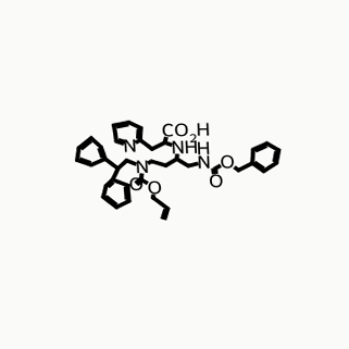 C=CCOC(=O)N(CCC(CNC(=O)OCc1ccccc1)NC(Cc1ccccn1)C(=O)O)CC(c1ccccc1)c1ccccc1